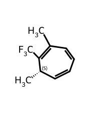 CC1=C(C(F)(F)F)[C@@H](C)C=CC=C1